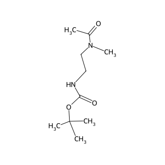 CC(=O)N(C)CCNC(=O)OC(C)(C)C